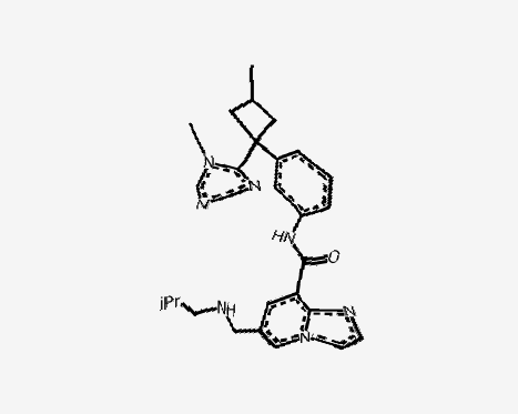 CC(C)CNCc1cc(C(=O)Nc2cccc(C3(c4nncn4C)CC(C)C3)c2)c2nccn2c1